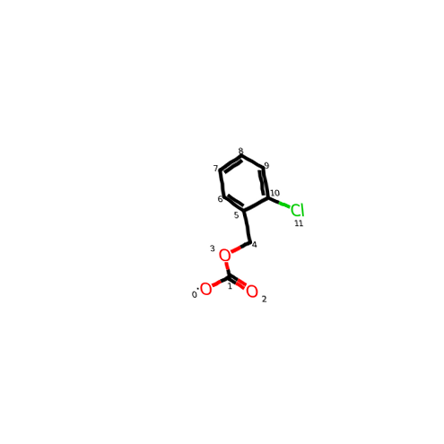 [O]C(=O)OCc1ccccc1Cl